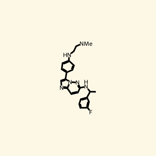 CNCCNc1ccc(-c2cnc3ccc(NC(C)c4cccc(F)c4)nn23)cc1